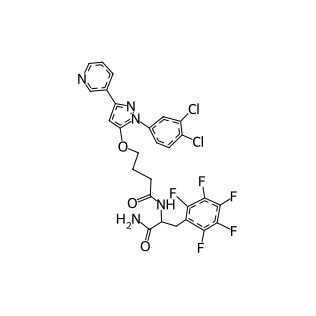 NC(=O)C(Cc1c(F)c(F)c(F)c(F)c1F)NC(=O)CCCOc1cc(-c2cccnc2)nn1-c1ccc(Cl)c(Cl)c1